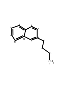 CCCCc1ccc2cc[c]cc2c1